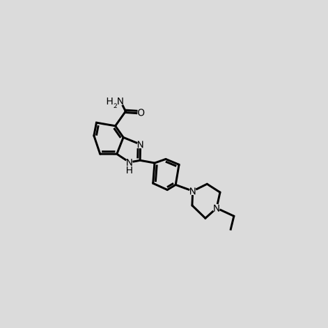 CCN1CCN(c2ccc(-c3nc4c(C(N)=O)cccc4[nH]3)cc2)CC1